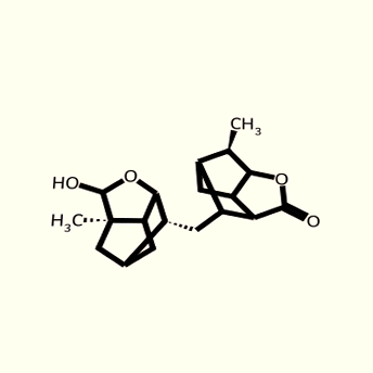 C[C@@H]1C2CC3C(C(=O)OC31)C2C[C@@H]1C2CC3C1OC(O)[C@]3(C)C2